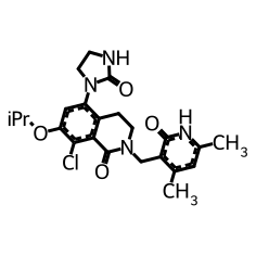 Cc1cc(C)c(CN2CCc3c(N4CCNC4=O)cc(OC(C)C)c(Cl)c3C2=O)c(=O)[nH]1